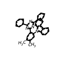 Cc1cc(-c2nc(-c3ccccc3)nc(-c3ccccc3)n2)c(-n2c3ccccc3c3ccccc32)cc1C